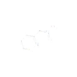 O=[N+]([O-])CC1=NSCCC1